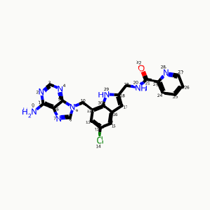 Nc1ncnc2c1ncn2Cc1cc(Cl)cc2cc(CNC(=O)c3ccccn3)[nH]c12